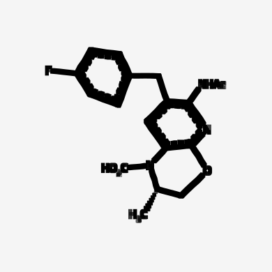 CC(=O)Nc1nc2c(cc1Cc1ccc(F)cc1)N(C(=O)O)[C@@H](C)CO2